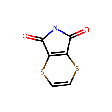 O=C1[N]C(=O)C2=C1SC=CS2